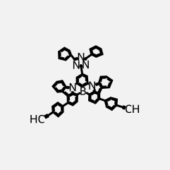 C#Cc1ccc(-c2ccc3c4c2c2ccccc2n4-c2cc(-c4nc(-c5ccccc5)nc(-c5ccccc5)n4)cc4c2B3c2ccc(-c3ccc(C#C)cc3)c3c5ccccc5n-4c23)cc1